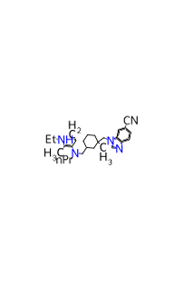 C=C/C(=C(/C)NCC)N(CCC)CC1CCCC(C)(Cn2cnc3ccc(C#N)cc32)C1